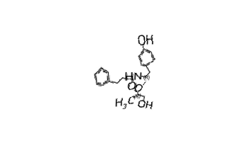 C[C@H](CO)OC[C@@H](Cc1ccc(O)cc1)NC(=O)CCc1ccccc1